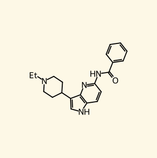 CCN1CCC(c2c[nH]c3ccc(NC(=O)c4ccccc4)nc23)CC1